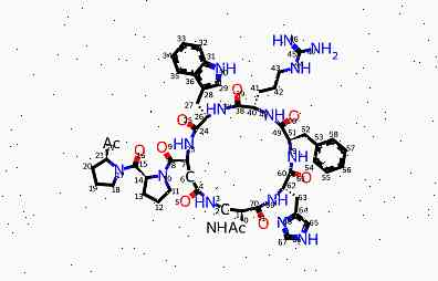 CC(=O)N[C@H]1CNC(=O)C[C@@H](C(=O)N2CCC[C@H]2C(=O)N2CCC[C@H]2C(C)=O)NC(=O)[C@H](Cc2c[nH]c3ccccc23)NC(=O)[C@H](CCCNC(=N)N)NC(=O)[C@@H](Cc2ccccc2)NC(=O)[C@H](Cc2c[nH]cn2)NC1=O